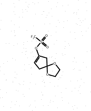 O=S(=O)(OC1=CCC2(C1)OCCO2)C(F)(F)F